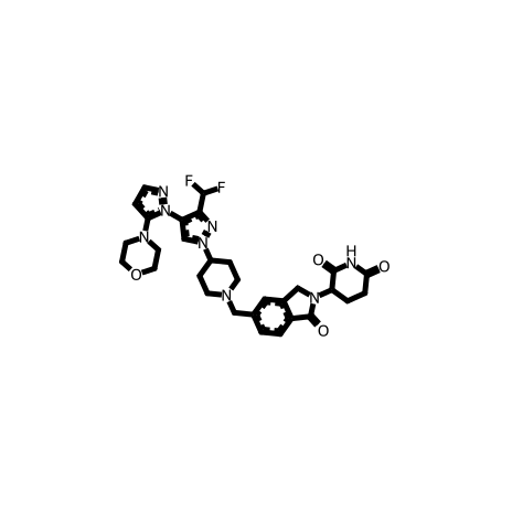 O=C1CCC(N2Cc3cc(CN4CCC(n5cc(-n6nccc6N6CCOCC6)c(C(F)F)n5)CC4)ccc3C2=O)C(=O)N1